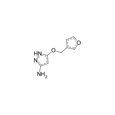 Nc1cc(OCc2ccoc2)[nH]n1